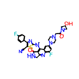 CN(c1nc(-c2ccc(F)cc2)c(C#N)s1)c1c2c(nc3c(F)cc(N4CCN(CC(=O)N5CC(O)C5)CC4)cc13)CNC2=O